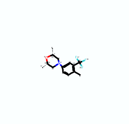 Cc1ccc(N2C[C@@H](C)O[C@@H](C)C2)cc1C(F)(F)F